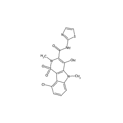 CN1C(C(=O)Nc2nccs2)=C(O)c2c(c3c(Cl)cccc3n2C)S1(=O)=O